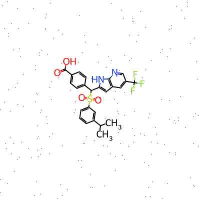 CC(C)c1cccc(S(=O)(=O)C(c2ccc(C(=O)O)cc2)c2cc3cc(C(F)(F)F)cnc3[nH]2)c1